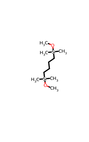 CO[Si](C)(C)CCCC[Si](C)(C)OC